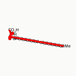 COCCOCCOCCOCCOCCOCCOCCOCCOCCOCCOCCOCCCCOCCOCCOCCOCCOCCOCCOCCOCCOCCOCCOCCONC(=O)CCCCC[N+]1=C(/C=C/C=C2/N(CCCCCC(=O)O)c3ccccc3C2(C)C)C(C)(C)c2ccccc21